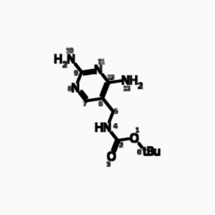 CC(C)(C)OC(=O)NCc1cnc(N)nc1N